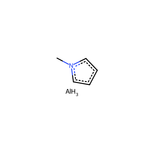 Cn1cccc1.[AlH3]